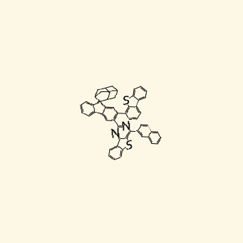 c1ccc2c(c1)-c1cc(-c3nc(-c4ccc5ccccc5c4)c4sc5ccccc5c4n3)c(-c3cccc4c3sc3ccccc34)cc1C21C2CC3CC(C2)CC1C3